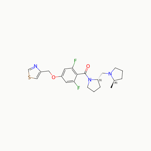 C[C@@H]1CCCN1C[C@@H]1CCCN1C(=O)c1c(F)cc(OCc2cscn2)cc1F